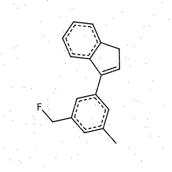 Cc1cc(CF)cc(C2=CCc3ccccc32)c1